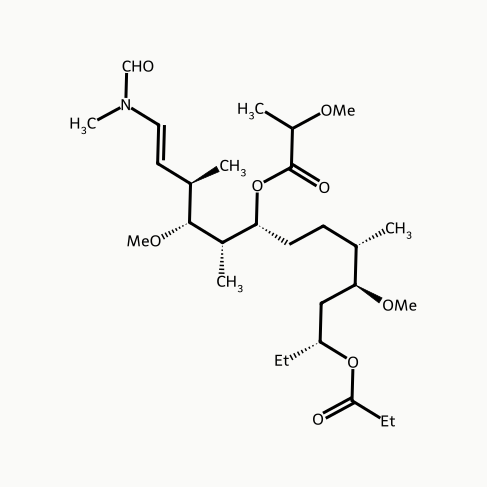 CCC(=O)O[C@H](CC)C[C@H](OC)[C@@H](C)CC[C@@H](OC(=O)C(C)OC)[C@H](C)[C@H](OC)[C@H](C)/C=C/N(C)C=O